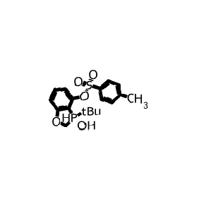 Cc1ccc(S(=O)(=O)Oc2cccc3c2[PH](O)(C(C)(C)C)CO3)cc1